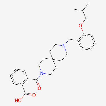 CC(C)COc1ccccc1CN1CCC2(CC1)CCN(C(=O)c1ccccc1C(=O)O)CC2